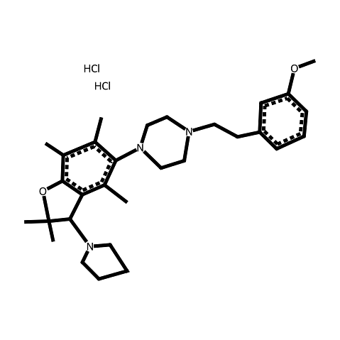 COc1cccc(CCN2CCN(c3c(C)c(C)c4c(c3C)C(N3CCCC3)C(C)(C)O4)CC2)c1.Cl.Cl